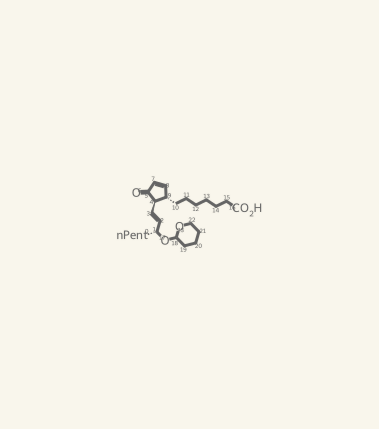 CCCCC[C@H](/C=C/[C@H]1C(=O)C=C[C@@H]1CCCCCCC(=O)O)OC1CCCCO1